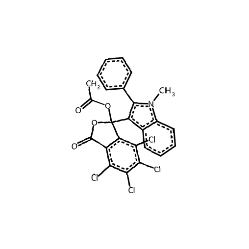 CC(=O)OC1(c2c(-c3ccccc3)n(C)c3ccccc23)OC(=O)c2c(Cl)c(Cl)c(Cl)c(Cl)c21